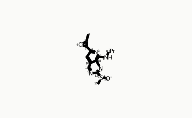 CC(C)Nc1nc(C2OC2C)cc2cnc([S+](C)[O-])nc12